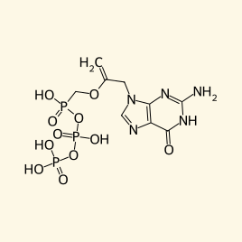 C=C(Cn1cnc2c(=O)[nH]c(N)nc21)OCP(=O)(O)OP(=O)(O)OP(=O)(O)O